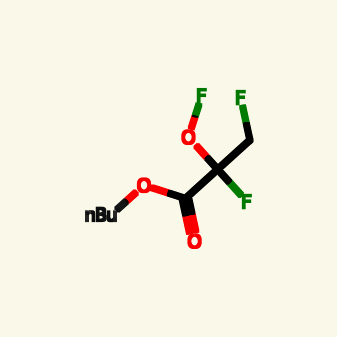 CCCCOC(=O)C(F)(CF)OF